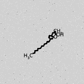 CCCCCCCCCCCC=Cc1ccc(CC(C)C(=O)O)cc1